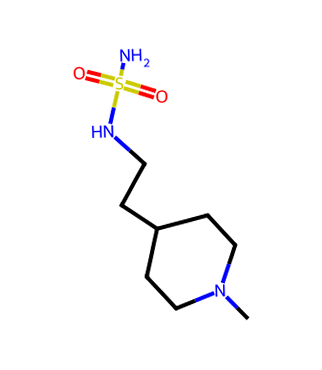 CN1CCC(CCNS(N)(=O)=O)CC1